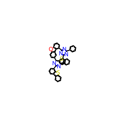 c1ccc(-c2nc(-c3ccccc3)nc(-c3cccc4oc5ccc(-c6nc(-c7cccc8c7sc7ccccc78)nc7c6sc6ccccc67)cc5c34)n2)cc1